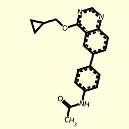 CC(=O)Nc1ccc(-c2ccc3ncnc(OCC4CC4)c3c2)cc1